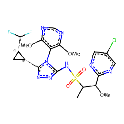 COc1ncnc(OC)c1-n1c(NS(=O)(=O)C(C)C(OC)c2ncc(Cl)cn2)nnc1[C@@H]1C[C@@H]1C(F)F